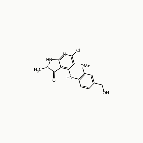 COc1cc(CO)ccc1Nc1cc(Cl)nc2[nH]n(C)c(=O)c12